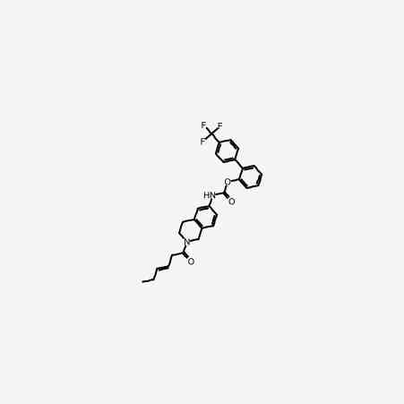 CCC=CCC(=O)N1CCc2cc(NC(=O)Oc3ccccc3-c3ccc(C(F)(F)F)cc3)ccc2C1